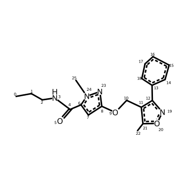 CCCNC(=O)c1cc(OCc2c(-c3ccccc3)noc2C)nn1C